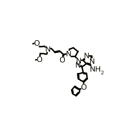 COCCN(CC=CC(=O)N1CCCC(n2nc(-c3ccc(Oc4ccccc4)cc3)c3c(N)ncnc32)C1)CCOC